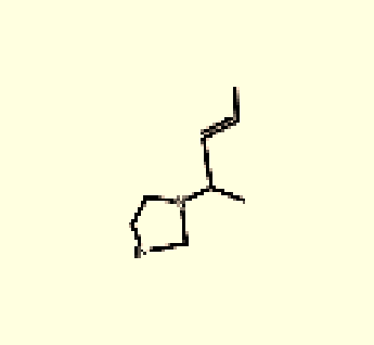 CC=CC(C)N1CCNC1